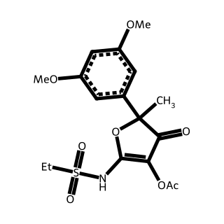 CCS(=O)(=O)NC1=C(OC(C)=O)C(=O)C(C)(c2cc(OC)cc(OC)c2)O1